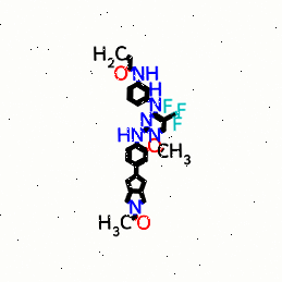 C=CC(=O)Nc1cccc(Nc2nc(Nc3ccc(C4CC5CN(C(C)=O)CC5C4)cc3OC)ncc2C(F)(F)F)c1